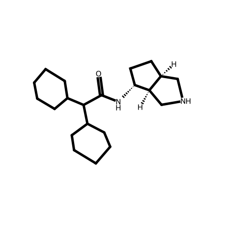 O=C(N[C@@H]1CC[C@H]2CNC[C@H]21)C(C1CCCCC1)C1CCCCC1